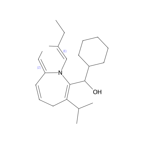 C/C=C1/C=CCC(C(C)C)=C(C(O)C2CCCCC2)N1/C=C(\C)CC